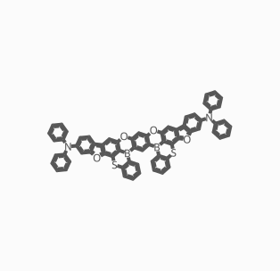 c1ccc(N(c2ccccc2)c2ccc3c(c2)oc2c4c5c(cc23)Oc2cc3c(cc2B5c2ccccc2S4)B2c4ccccc4Sc4c2c(cc2c4oc4cc(N(c5ccccc5)c5ccccc5)ccc42)O3)cc1